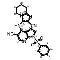 N#Cc1cnc2c(ccn2S(=O)(=O)c2ccccc2)c1Nc1c(C#N)nc2n1CCCC2